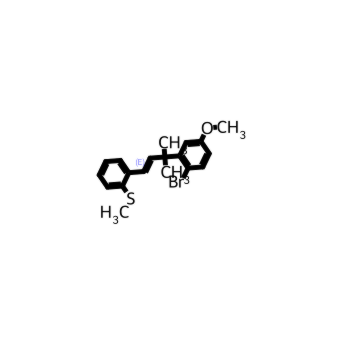 COc1ccc(Br)c(C(C)(C)/C=C/c2ccccc2SC)c1